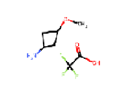 COC1CC(N)C1.O=C(O)C(F)(F)F